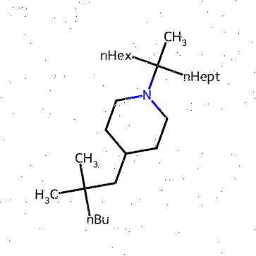 CCCCCCCC(C)(CCCCCC)N1CCC(CC(C)(C)CCCC)CC1